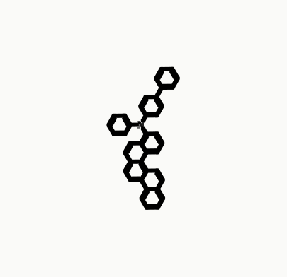 c1ccc(-c2ccc(N(c3ccccc3)c3cccc4c3ccc3ccc5c6ccccc6ccc5c34)cc2)cc1